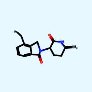 C=C1CCC(N2Cc3c(CC(C)C)cccc3C2=O)C(=O)N1